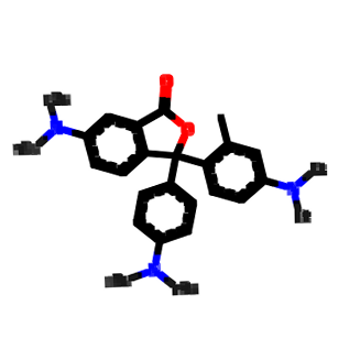 CCCCN(CCCC)c1ccc(C2(c3ccc(N(CC)CC)cc3C)OC(=O)c3cc(N(CCCC)CCCC)ccc32)cc1